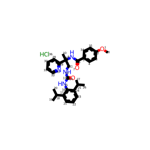 COc1ccc(C(=O)NC(C)(CNC(=O)Nc2c(C(C)C)cccc2C(C)C)c2ccccn2)cc1.Cl